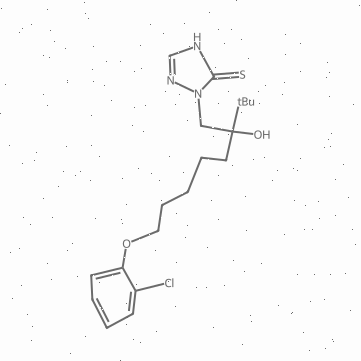 CC(C)(C)C(O)(CCCCCOc1ccccc1Cl)Cn1nc[nH]c1=S